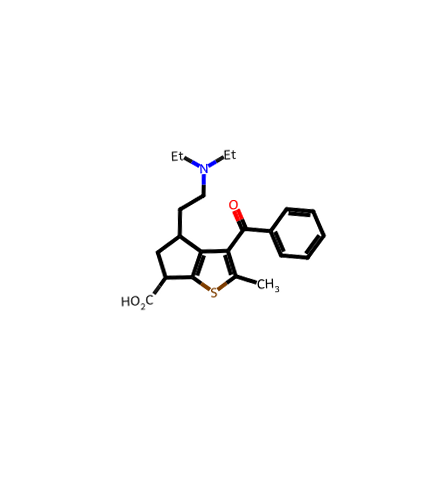 CCN(CC)CCC1CC(C(=O)O)c2sc(C)c(C(=O)c3ccccc3)c21